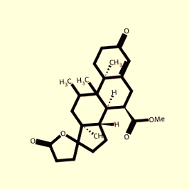 COC(=O)[C@@H]1CC2=CC(=O)CC[C@]2(C)C2(C)C(C)C[C@@]3(C)[C@@H](CCC34CCC(=O)O4)[C@H]12